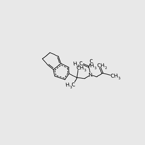 C=C(C)CN(CC(C)(C)c1ccc2c(c1)=CCCC=2)C(=C)C